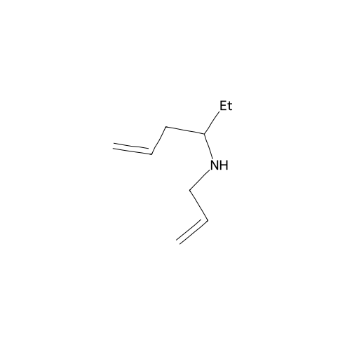 C=CCNC(CC)CC=C